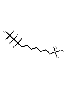 C[Si](C)(C)OCCCCCCC(F)(F)C(F)(F)C(F)(F)C(F)(F)F